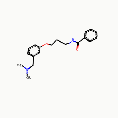 CN(C)Cc1cccc(OCCCNC(=O)c2ccccc2)c1